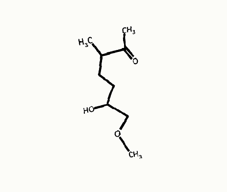 COCC(O)CCC(C)C(C)=O